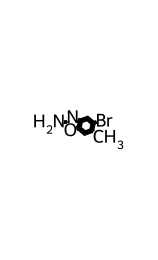 Cc1cc2oc(N)nc2cc1Br